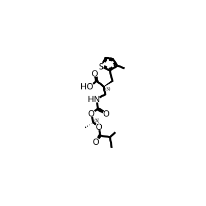 Cc1ccsc1C[C@@H](CNC(=O)O[C@@H](C)OC(=O)C(C)C)C(=O)O